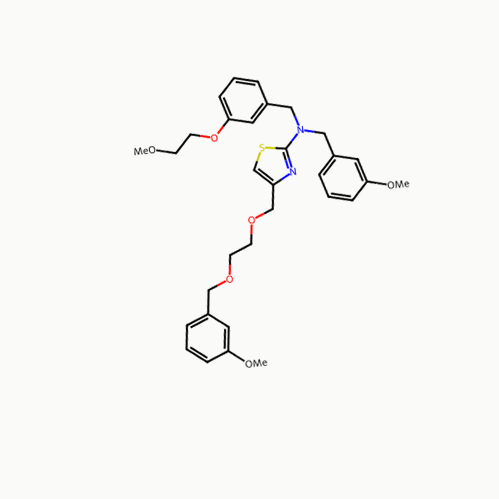 COCCOc1cccc(CN(Cc2cccc(OC)c2)c2nc(COCCOCc3cccc(OC)c3)cs2)c1